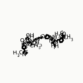 Cc1ncsc1-c1ccc(CNC(=O)[C@@H]2C[C@@H](O)CN2C(=O)[C@@H](NC(=O)COCCOc2ccc(Nc3ncc(C(F)(F)F)c(NCc4cccc(N(C)S(C)(=O)=O)c4)n3)cc2)C(C)(C)C)cc1